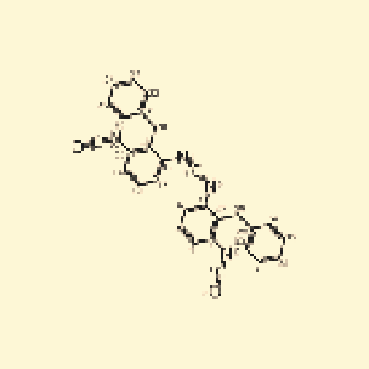 O=C=Nc1cccc(N=C=Nc2cccc(N=C=O)c2Cc2ccccc2)c1Cc1ccccc1